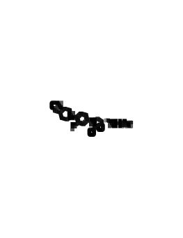 CC(=O)NC[C@H]1CN(c2ccc(N3CCC(CC#N)CC3)c(F)c2)C(=O)O1